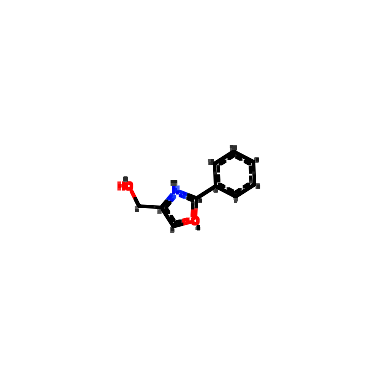 OCc1coc(-c2ccccc2)n1